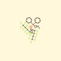 CC([O][SnH]([C](F)(F)C(F)(F)C(F)(F)C(F)(F)F)[C](F)(F)C(F)(F)C(F)(F)C(F)(F)F)(c1ccccc1)c1ccccc1